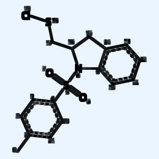 Cc1ccc(S(=O)(=O)N2c3ccccc3CC2CSCl)cc1